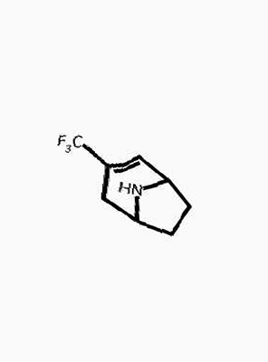 FC(F)(F)C1=CC2CCC(C1)N2